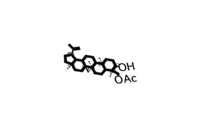 C=C(C)[C@@H]1CC[C@]2(C)CC[C@]3(C)C(CCC4[C@@]5(C)CC[C@H](O)[C@@](C)(COC(C)=O)C5CC[C@]43C)C12